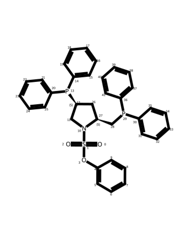 O=S(=O)(Oc1ccccc1)N1C[C@@H](P(c2ccccc2)c2ccccc2)C[C@H]1CP(c1ccccc1)c1ccccc1